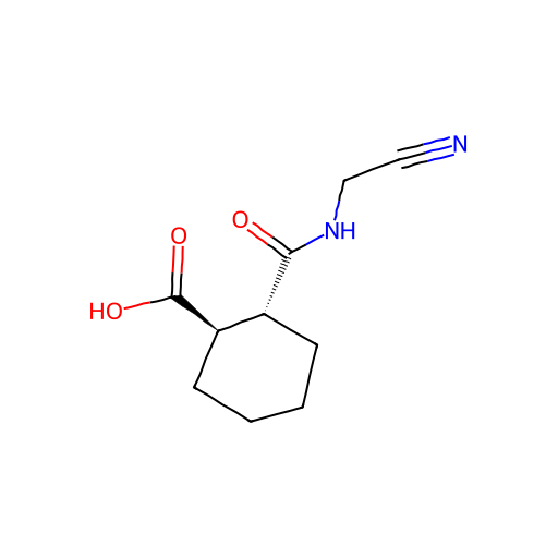 N#CCNC(=O)[C@@H]1CCCC[C@H]1C(=O)O